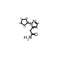 NC(=O)Cc1ccnn1C1CCCC1